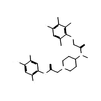 Cc1cc(N)c(C)c(C)c1OCC(=O)N(C)C1CCN(CC(=O)Nc2cc(Cl)c(N)cc2Cl)CC1